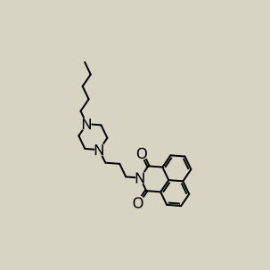 CCCCCN1CCN(CCCN2C(=O)c3cccc4cccc(c34)C2=O)CC1